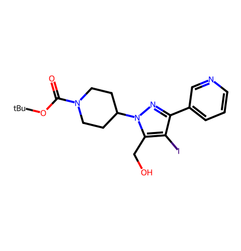 CC(C)(C)OC(=O)N1CCC(n2nc(-c3cccnc3)c(I)c2CO)CC1